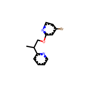 CC(COc1cc(Br)ccn1)c1ccccn1